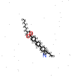 CCCCCCCC1COC(c2ccc(-c3ccc(C4CCC(C#N)(CCCCC)CC4)cc3)cc2)OC1